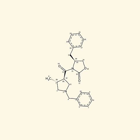 C[C@H]1CN(Cc2ccccc2)C[C@@H]1C(=O)N1C(=O)OC[C@@H]1Cc1ccccc1